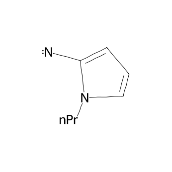 CCCn1cccc1[N]